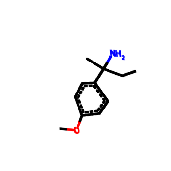 CCC(C)(N)c1ccc(OC)cc1